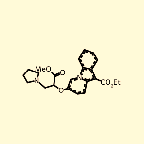 CCOC(=O)c1c2ccccc2n2cc(OC(CN3CCCC3)C(=O)OC)ccc12